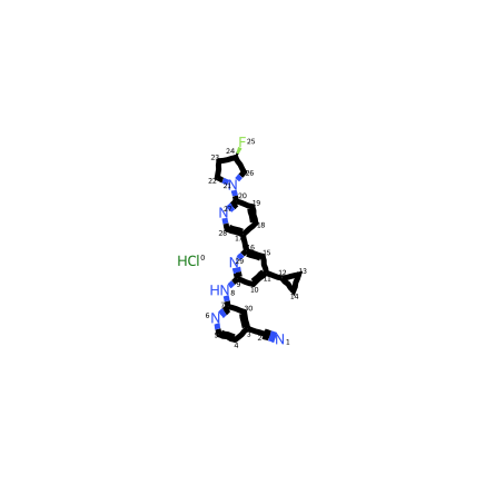 Cl.N#Cc1ccnc(Nc2cc(C3CC3)cc(-c3ccc(N4CC[C@@H](F)C4)nc3)n2)c1